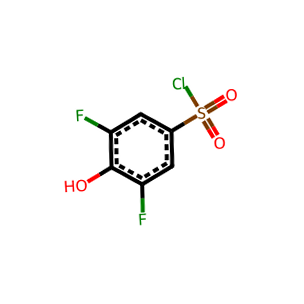 O=S(=O)(Cl)c1cc(F)c(O)c(F)c1